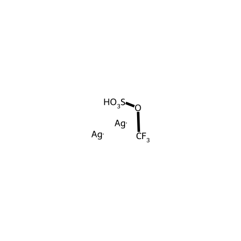 O=S(=O)(O)OC(F)(F)F.[Ag].[Ag]